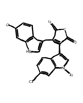 CCn1cc(C2=C(c3c[nH]c4cc(Cl)ccc34)C(=O)OC2=O)c2ccc(Cl)cc21